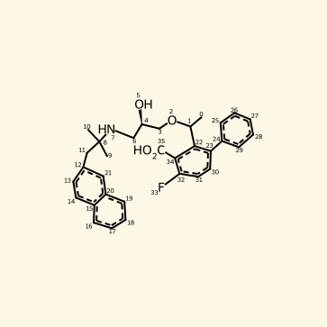 CC(OC[C@H](O)CNC(C)(C)Cc1ccc2ccccc2c1)c1c(-c2ccccc2)ccc(F)c1C(=O)O